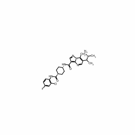 Cc1c(C(C)N(C)C)cnc2c(C(=O)N[C@H]3CC[C@H](C(=O)Nc4ccc(F)cc4Cl)CC3)cnn12